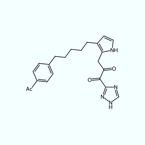 CC(=O)c1ccc(CCCCCc2cc[nH]c2CC(=O)C(=O)c2nc[nH]n2)cc1